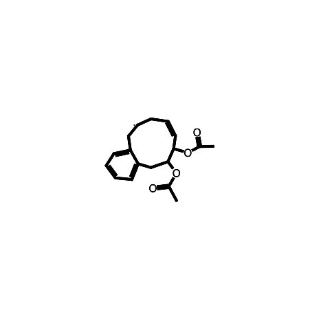 CC(=O)OC1/C=C\C[CH]Cc2ccccc2CC1OC(C)=O